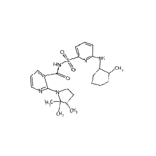 CC1CCCCC1Nc1cccc(S(=O)(=O)NC(=O)c2cccnc2N2CCC(C)C2(C)C)n1